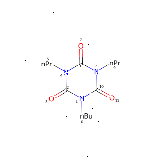 CCCCn1c(=O)n(CCC)c(=O)n(CCC)c1=O